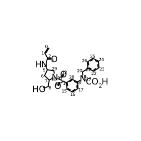 C=CC(=O)NC1CC(CO)N(S(=O)(=O)c2cccc(N(Cc3ccccc3)C(=O)O)c2)C1